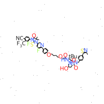 Cc1ncsc1-c1ccc(CNC(=O)[C@@H]2C[C@@H](O)CN2C(=O)[C@@H](NC(=O)COCCCCOc2ccc(-c3ncc(N4C(=S)N(c5ccc(C#N)c(C(F)(F)F)c5F)C(=O)C4(C)C)cc3F)cc2)C(C)(C)C)cc1